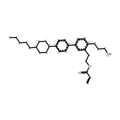 C=CC(=O)OCCc1cc(-c2ccc(C3CCC(CCCCC)CC3)cc2)ccc1CCCO